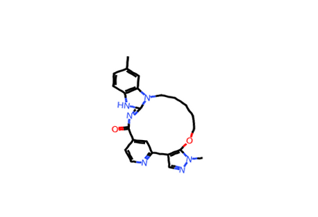 Cc1ccc2c(c1)N1CCCCCOc3c(cnn3C)-c3cc(ccn3)C(=O)/N=C/1N2